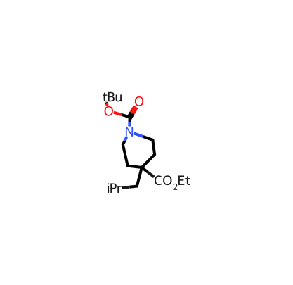 CCOC(=O)C1(CC(C)C)CCN(C(=O)OC(C)(C)C)CC1